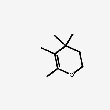 CC1=C(C)C(C)(C)CCO1